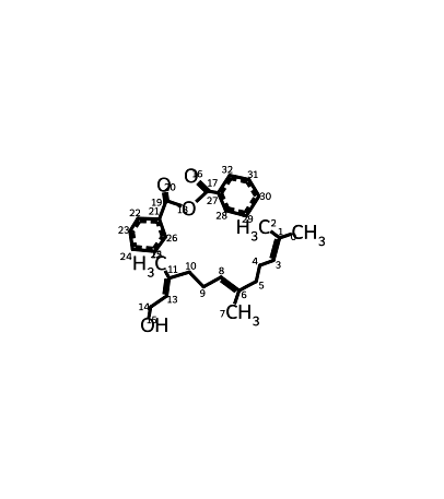 CC(C)=CCCC(C)=CCCC(C)=CCO.O=C(OC(=O)c1ccccc1)c1ccccc1